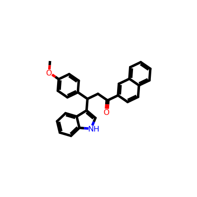 COc1ccc(C(CC(=O)c2ccc3ccccc3c2)c2c[nH]c3ccccc23)cc1